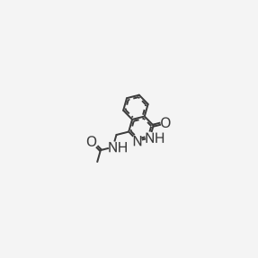 CC(=O)NCc1n[nH]c(=O)c2ccccc12